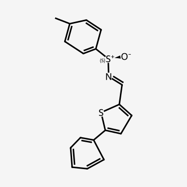 Cc1ccc([S@@+]([O-])N=Cc2ccc(-c3ccccc3)s2)cc1